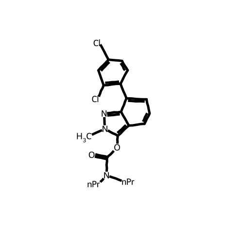 CCCN(CCC)C(=O)Oc1c2cccc(-c3ccc(Cl)cc3Cl)c2nn1C